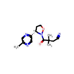 Cc1cnc([C@@H]2CCON2C(=O)C(C)(C)CC#N)cn1